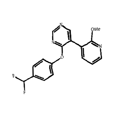 COc1ncccc1-c1cncnc1Oc1ccc(C(F)F)cc1